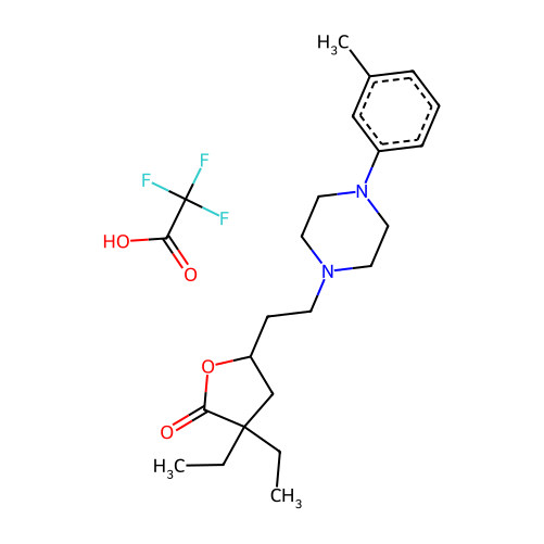 CCC1(CC)CC(CCN2CCN(c3cccc(C)c3)CC2)OC1=O.O=C(O)C(F)(F)F